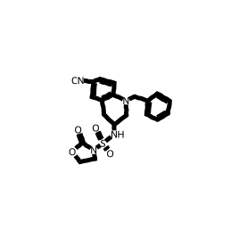 [C-]#[N+]c1ccc2c(c1)CC(NS(=O)(=O)N1CCOC1=O)CN2Cc1ccccc1